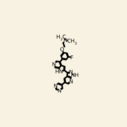 CN(C)CCOc1cc(F)cc(-c2cncc3[nH]c(-c4n[nH]c5ncc(-c6cncnc6)cc45)cc23)c1